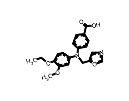 CCOc1ccc(N(Cc2cnco2)c2ccc(C(=O)O)cc2)cc1OC